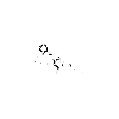 CCCCCCCCc1cc(N=Nc2ccccc2O[Si](C)(C)C(C)(C)C)c(N)nc1OC(N)=O